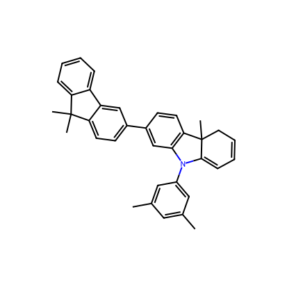 Cc1cc(C)cc(N2C3=CC=CCC3(C)c3ccc(-c4ccc5c(c4)-c4ccccc4C5(C)C)cc32)c1